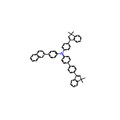 CC1(C)C=C(c2ccc(-c3ccc(N(c4ccc(C5=CC(C)(C)c6ccccc65)cc4)c4ccc(-c5ccc6ccccc6c5)cc4)cc3)cc2)c2ccccc21